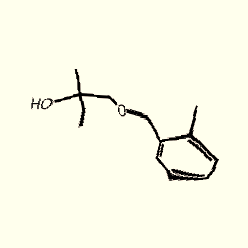 Cc1ccccc1COCC(C)(C)O